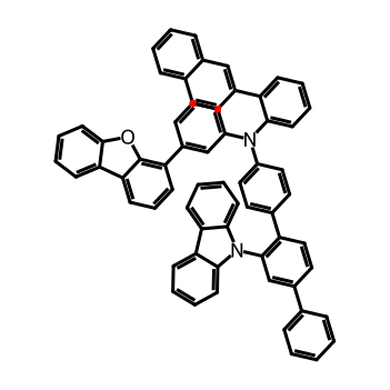 c1ccc(-c2ccc(-c3ccc(N(c4cccc(-c5cccc6c5oc5ccccc56)c4)c4ccccc4-c4ccc5ccccc5c4)cc3)c(-n3c4ccccc4c4ccccc43)c2)cc1